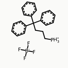 F[B-](F)(F)F.[PH3+]CCCC(c1ccccc1)(c1ccccc1)c1ccccc1